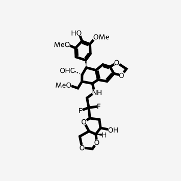 COCC1C(NCC(F)(F)C2CC(O)[C@@H]3OCOCC3O2)c2cc3c(cc2[C@@H](c2cc(OC)c(O)c(OC)c2)[C@H]1C=O)OCO3